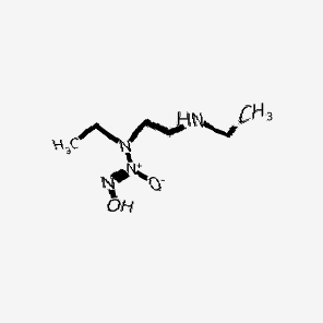 CCNCCN(CC)[N+]([O-])=NO